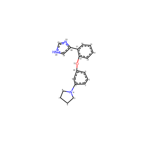 [c]1ccc(N2CCCC2)cc1Oc1ccccc1-c1c[nH]cn1